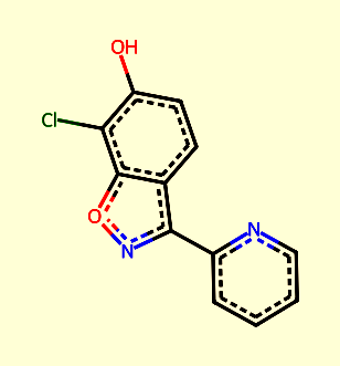 Oc1ccc2c(-c3ccccn3)noc2c1Cl